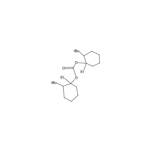 CCC1(OC(=O)OC2(CC)CCCCC2C(C)(C)C)CCCCC1C(C)(C)C